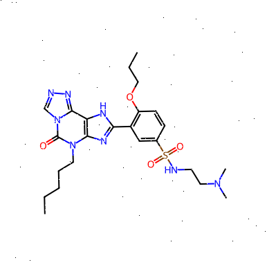 CCCCCn1c(=O)n2cnnc2c2[nH]c(-c3cc(S(=O)(=O)NCCN(C)C)ccc3OCCC)nc21